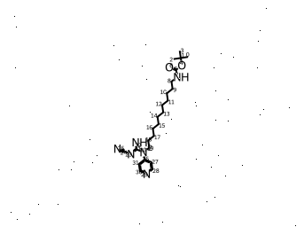 CC(C)(C)OC(=O)NCCCCCCCCCCCCN(C(N)=NC#N)c1ccncc1